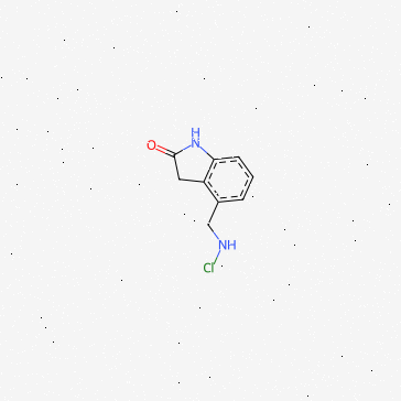 O=C1Cc2c(CNCl)cccc2N1